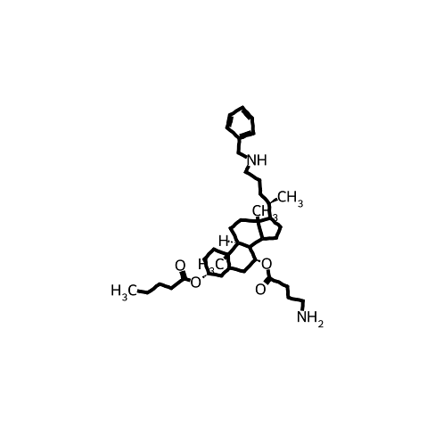 CCCCC(=O)O[C@@H]1CCC2(C)C(C1)C[C@@H](OC(=O)CCCN)C1C3CCC([C@H](C)CCCNCc4ccccc4)C3(C)CC[C@@H]12